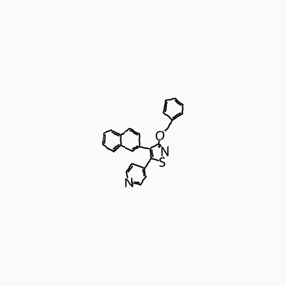 c1ccc(COc2nsc(-c3ccncc3)c2-c2ccc3ccccc3c2)cc1